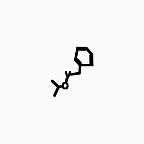 CC(C)[O][V][CH2]c1ccccc1